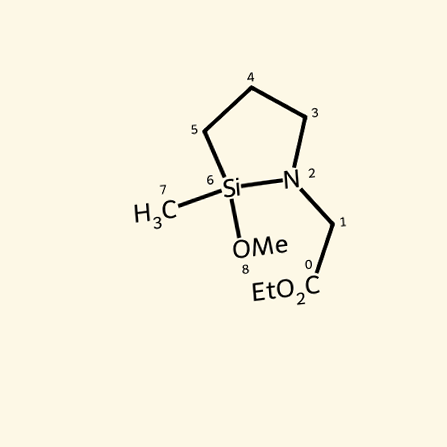 CCOC(=O)CN1CCC[Si]1(C)OC